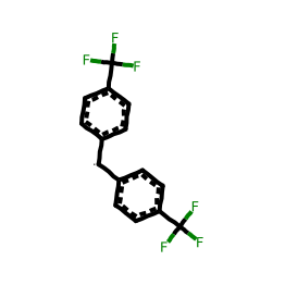 FC(F)(F)c1ccc([CH]c2ccc(C(F)(F)F)cc2)cc1